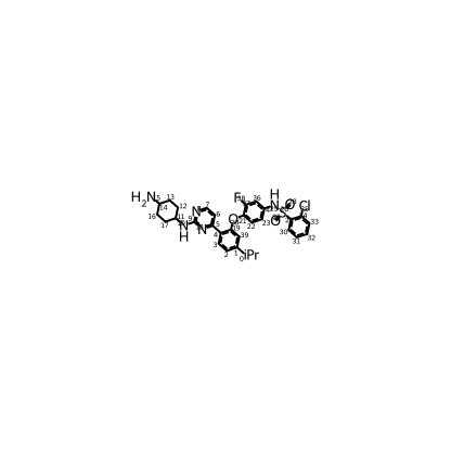 CC(C)c1ccc(-c2ccnc(NC3CCC(N)CC3)n2)c(Oc2ccc(NS(=O)(=O)c3ccccc3Cl)cc2F)c1